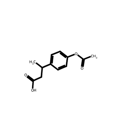 CC(=O)Oc1ccc(C(C)CC(=O)O)cc1